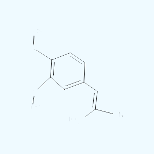 CCCSc1ccc(C=C(C#N)C(=O)O)cc1SCCC